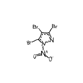 O=[N+]([O-])n1nc(Br)c(Br)c1Br